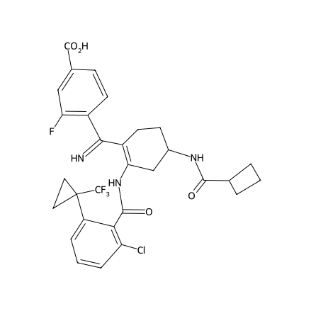 N=C(C1=C(NC(=O)c2c(Cl)cccc2C2(C(F)(F)F)CC2)CC(NC(=O)C2CCC2)CC1)c1ccc(C(=O)O)cc1F